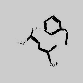 C=Cc1ccccc1.CCCCC(=CC=C(C)C(=O)O)C(=O)O